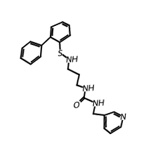 O=C(NCCCNSc1ccccc1-c1ccccc1)NCc1cccnc1